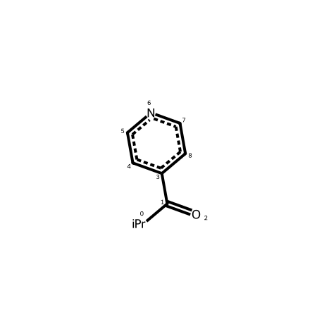 CC(C)C(=O)c1ccncc1